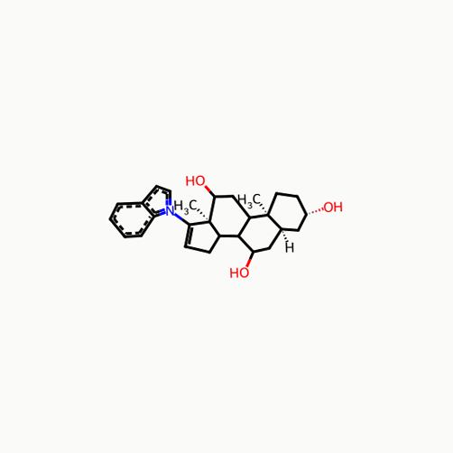 C[C@@]12C(n3ccc4ccccc43)=CCC1C1C(O)C[C@@H]3C[C@@H](O)CC[C@]3(C)C1CC2O